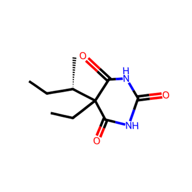 CC[C@H](C)C1(CC)C(=O)NC(=O)NC1=O